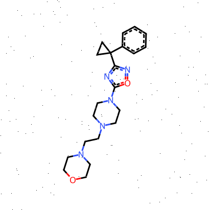 c1ccc(C2(c3noc(N4CCN(CCN5CCOCC5)CC4)n3)CC2)cc1